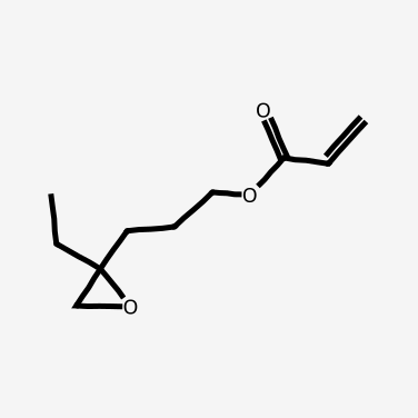 C=CC(=O)OCCCC1(CC)CO1